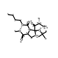 CCCCOC(=O)N1C(C(=O)OC)CSC1(OC(C)(C)C)C(=O)[C@H](C)N